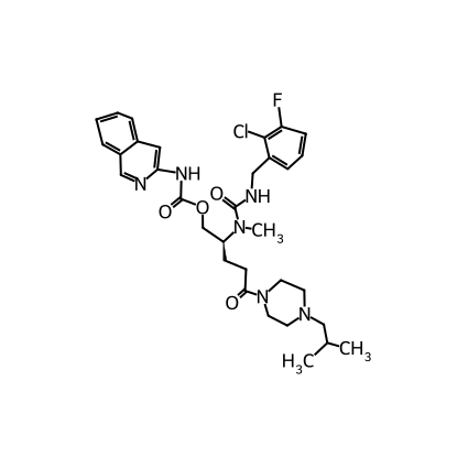 CC(C)CN1CCN(C(=O)CC[C@@H](COC(=O)Nc2cc3ccccc3cn2)N(C)C(=O)NCc2cccc(F)c2Cl)CC1